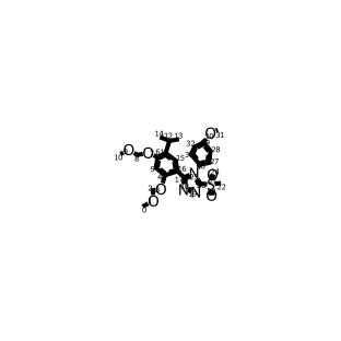 COCOc1cc(OCOC)c(C(C)C)cc1-c1nnc(S(C)(=O)=O)n1-c1ccc(OC)cc1